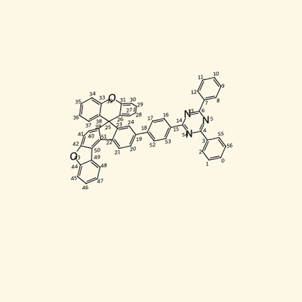 c1ccc(-c2nc(-c3ccccc3)nc(-c3ccc(-c4ccc5c(c4)C4(c6ccccc6Oc6ccccc64)c4ccc6oc7ccccc7c6c4-5)cc3)n2)cc1